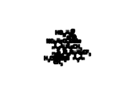 COC(=O)C1=C(C)N(c2cccc(C(F)(F)F)c2)c2n[nH]c(=O)n2C1c1ccc(C#N)cc1CC[N+](C)(C)C.O=S(=O)([O-])CCO